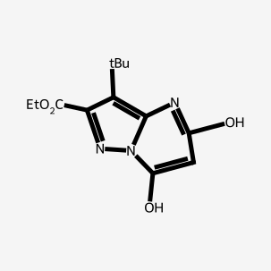 CCOC(=O)c1nn2c(O)cc(O)nc2c1C(C)(C)C